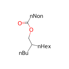 CCCCCCCCCC(=O)OCC(CCCC)CCCCCC